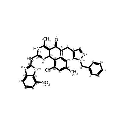 CC1=C(C(=O)NCc2cnn(Cc3ccccc3)c2)C(c2ccc(C)cc2Cl)N=C(Nc2nc3cccc([N+](=O)[O-])c3o2)N1